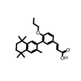 CCCOc1ccc(C=CC(=O)O)cc1-c1cc2c(cc1C)C(C)(C)CCC2(C)C